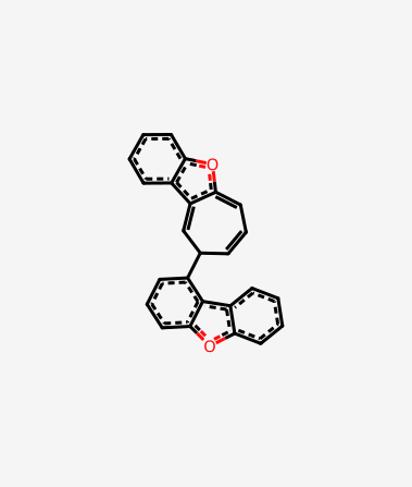 C1=CC(c2cccc3oc4ccccc4c23)C=c2c(oc3ccccc23)=C1